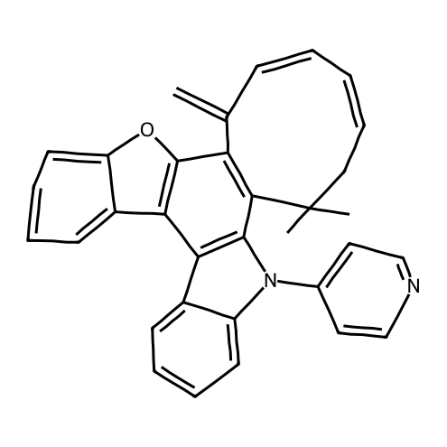 C=C1/C=C\C=C/CC(C)(C)c2c1c1oc3ccccc3c1c1c3ccccc3n(-c3ccncc3)c21